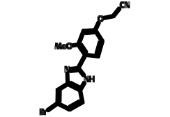 COc1cc(OCC#N)ccc1-c1nc2cc(Br)ccc2[nH]1